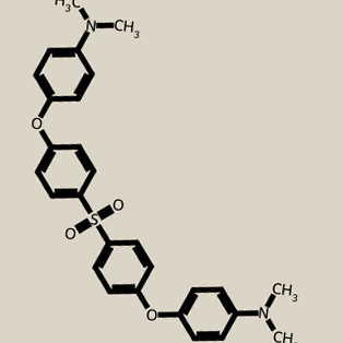 CN(C)c1ccc(Oc2ccc(S(=O)(=O)c3ccc(Oc4ccc(N(C)C)cc4)cc3)cc2)cc1